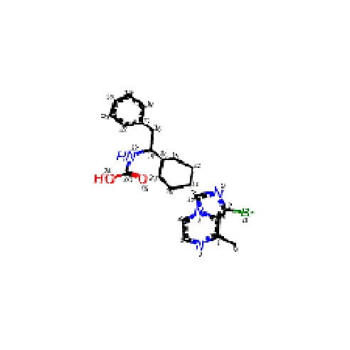 Cc1nccn2c1c(Br)nc2[C@H]1CC[C@H](C(Cc2ccccc2)NC(=O)O)CC1